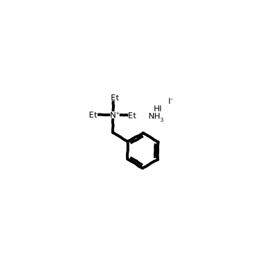 CC[N+](CC)(CC)Cc1ccccc1.I.N.[I-]